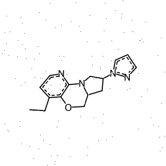 CCc1ccnc2c1OCC1CC(n3cccn3)CN21